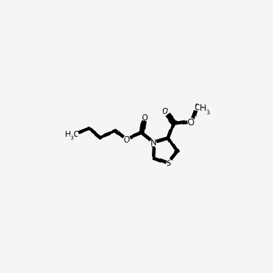 CCCCOC(=O)N1CSCC1C(=O)OC